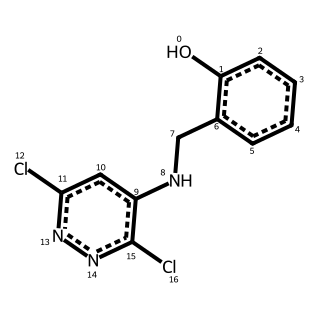 Oc1ccccc1CNc1cc(Cl)nnc1Cl